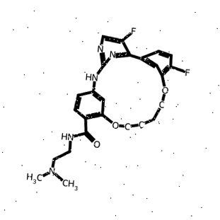 CN(C)CCNC(=O)c1ccc2cc1OCCCCOc1cc(ccc1F)-c1nc(ncc1F)N2